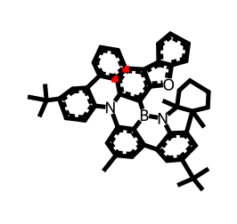 Cc1cc2c3c(c1)N(c1ccc(C(C)(C)C)cc1-c1ccccc1)c1ccc4c(oc5ccccc54)c1B3N1c3c-2cc(C(C)(C)C)cc3C2(C)CCCCC12C